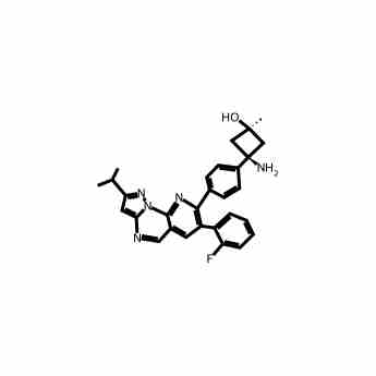 CC(C)c1cc2ncc3cc(-c4ccccc4F)c(-c4ccc([C@]5(N)C[C@@](C)(O)C5)cc4)nc3n2n1